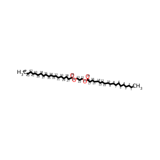 CCCCCCCCCCCCCCCCCCC(=O)OCCCOC(=O)CCCCCCCCCCCCCCCCCC